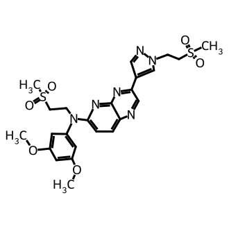 COc1cc(OC)cc(N(CCS(C)(=O)=O)c2ccc3ncc(-c4cnn(CCS(C)(=O)=O)c4)nc3n2)c1